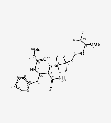 COC(OCCC(C)(C)[Si](C)(C)OC(C(N)=O)C(Cc1ccccc1)NC(=O)OC(C)(C)C)N(C)C